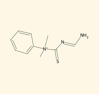 C[N+](C)(C(=S)N=CN)c1ccccc1